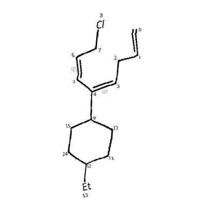 C=CC/C=C(\C=C/CCl)C1CCC(CC)CC1